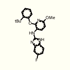 COc1ccc(Nc2nc3cc(F)ccc3[nH]2)c(Oc2ccccc2C(C)(C)C)n1